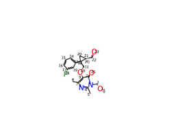 COCn1c(C)nc(C)c(OC[C@@]2(c3cccc(F)c3)C[C@H]2C=O)c1=O